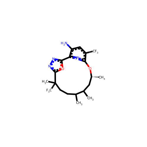 CC1CCC(C)(C(F)(F)F)c2nnc(o2)-c2nc(c(C(F)(F)F)cc2N)O[C@H](C)CC1C